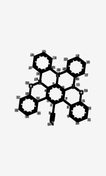 N#Cc1c2c3c4c5c1-c1ccccc1OB5c1ccccc1N4c1ccccc1B3Oc1ccccc1-2